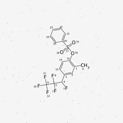 Cc1cc(C(F)C(F)(F)C(F)(F)F)ccc1OS(=O)(=O)c1ccccc1